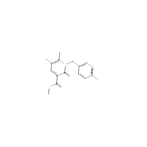 CNC(=O)c1cc(C)c(C)n(Cc2ccc(F)cc2)c1=O